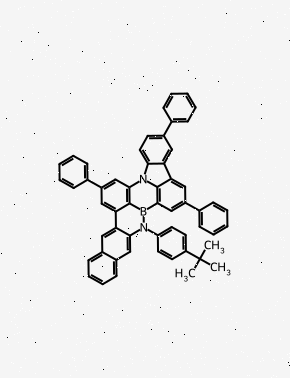 CC(C)(C)c1ccc(N2B3c4c(cc(-c5ccccc5)cc4-n4c5ccc(-c6ccccc6)cc5c5cc(-c6ccccc6)cc3c54)-c3cc4ccccc4cc32)cc1